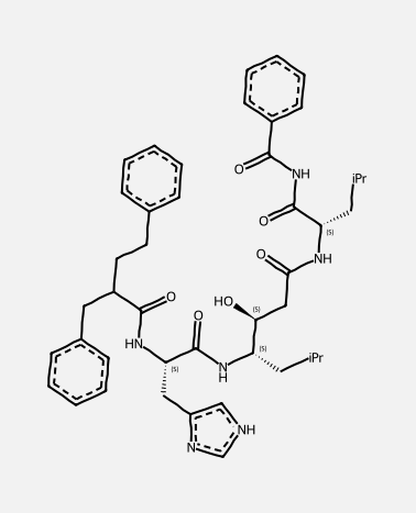 CC(C)C[C@H](NC(=O)C[C@H](O)[C@H](CC(C)C)NC(=O)[C@H](Cc1c[nH]cn1)NC(=O)C(CCc1ccccc1)Cc1ccccc1)C(=O)NC(=O)c1ccccc1